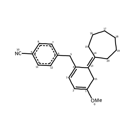 COC1=CC=C(Cc2ccc(C#N)cc2)C(=C2CCCCCC2)C1